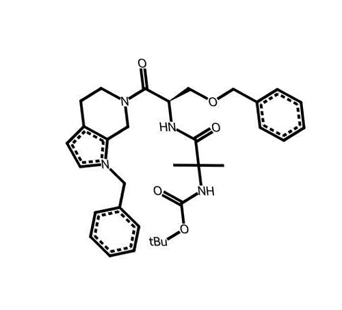 CC(C)(C)OC(=O)NC(C)(C)C(=O)N[C@H](COCc1ccccc1)C(=O)N1CCc2ccn(Cc3ccccc3)c2C1